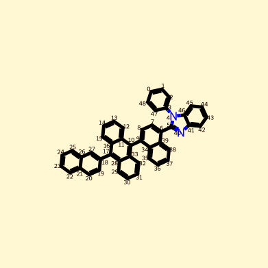 c1ccc(-n2c(-c3ccc(-c4c5ccccc5c(-c5ccc6ccccc6c5)c5ccccc45)c4ccccc34)nc3ccccc32)cc1